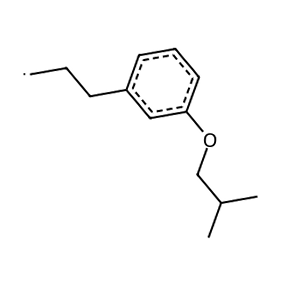 [CH2]CCc1cccc(OCC(C)C)c1